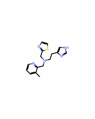 Cc1cccnc1CN(CCc1c[nH]cn1)Cc1nccs1